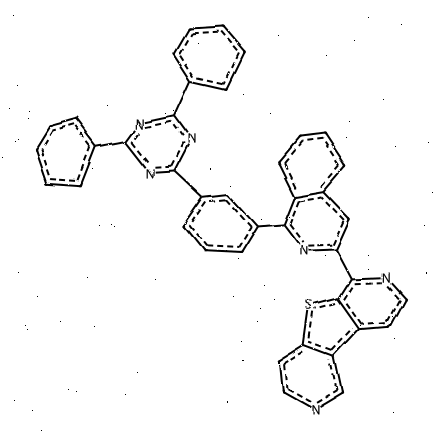 c1ccc(-c2nc(-c3ccccc3)nc(-c3cccc(-c4nc(-c5nccc6c5sc5ccncc56)cc5ccccc45)c3)n2)cc1